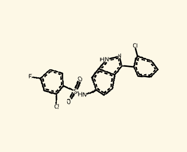 O=S(=O)(Nc1ccc2c(-c3ccccc3Cl)n[nH]c2c1)c1ccc(F)cc1Cl